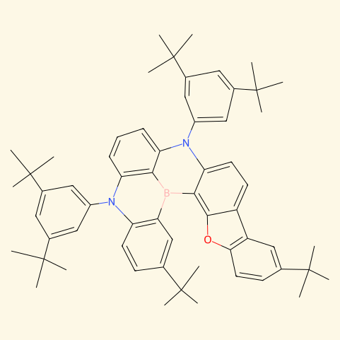 CC(C)(C)c1cc(N2c3ccc(C(C)(C)C)cc3B3c4c2cccc4N(c2cc(C(C)(C)C)cc(C(C)(C)C)c2)c2ccc4c(oc5ccc(C(C)(C)C)cc54)c23)cc(C(C)(C)C)c1